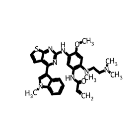 C=CC(=O)Nc1cc(Nc2nc(-c3cn(C)c4ccccc34)c3ccsc3n2)c(OC)cc1N(C)CCN(C)C